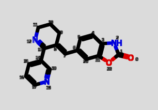 O=c1[nH]c2ccc(C=C3CCCN=C3c3cccnc3)cc2o1